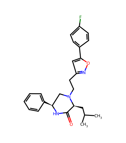 CC(C)C[C@H]1C(=O)N[C@@H](c2ccccc2)CN1CCc1cc(-c2ccc(F)cc2)on1